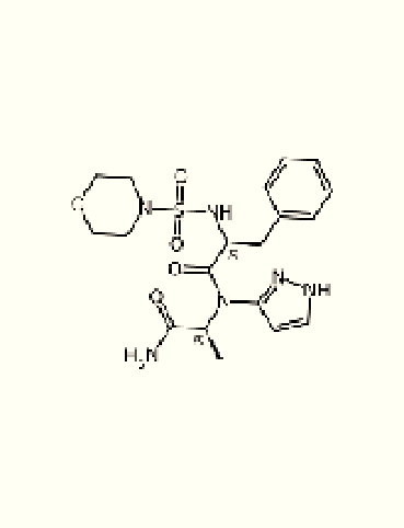 C[C@@H](C(N)=O)N(C(=O)[C@H](Cc1ccccc1)NS(=O)(=O)N1CCOCC1)c1cc[nH]n1